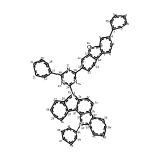 c1ccc(-c2ccc3c(c2)oc2cc(-c4nc(-c5ccccc5)nc(-n5c6ccccc6c6c5ccc5c7ccccc7n(-c7ccccc7)c56)n4)ccc23)cc1